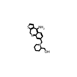 NC1=c2ccc(CN3CCCCC3CO)cc2=NCc2sccc21